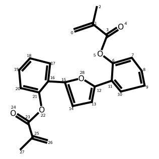 C=C(C)C(=O)Oc1ccccc1-c1ccc(-c2ccccc2OC(=O)C(=C)C)o1